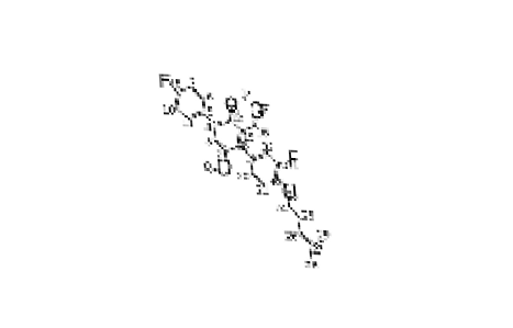 COc1cc(-c2ccc(F)cc2)c(OC)c(C=O)c1-c1ccc(OCCC=C(C)C)c(F)c1